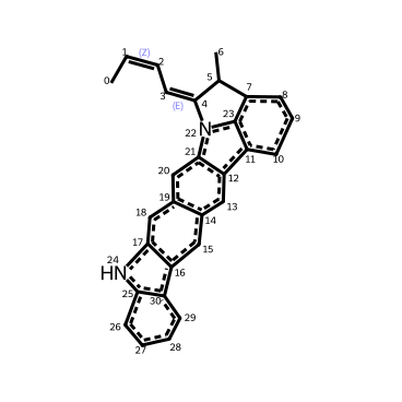 C/C=C\C=C1/C(C)c2cccc3c4cc5cc6c(cc5cc4n1c23)[nH]c1ccccc16